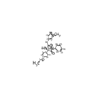 CCOc1ccc(C(NC(=O)Cc2cnn(C)c2)C(=O)Nc2ccccc2)cc1